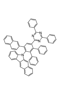 c1ccc(-c2nc(-c3ccccc3)nc(-c3cc(-c4ccc5ccccc5c4)c(-n4c5ccccc5c5cc6ccccc6cc54)c(-c4ccccc4)c3-c3ccccc3)n2)cc1